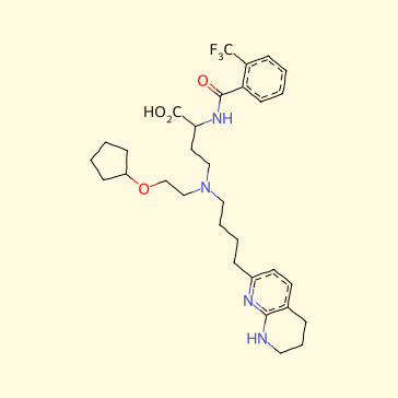 O=C(NC(CCN(CCCCc1ccc2c(n1)NCCC2)CCOC1CCCC1)C(=O)O)c1ccccc1C(F)(F)F